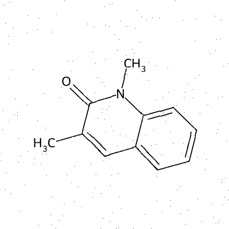 Cc1cc2ccccc2n(C)c1=O